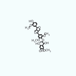 COc1cc(C(O)C(CO)Oc2c(OC)cc(C3OCC4C(c5ccc(O)c(OC)c5)OCC34)cc2OC)ccc1O